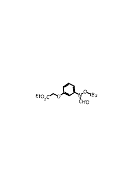 CCOC(=O)COc1cccc(N(C=O)OC(C)(C)C)c1